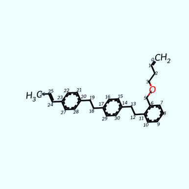 C=CCCOCc1ccccc1CCc1ccc(CCc2ccc(C=CC)cc2)cc1